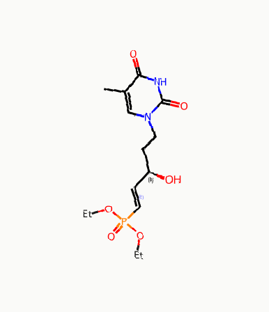 CCOP(=O)(/C=C/[C@H](O)CCn1cc(C)c(=O)[nH]c1=O)OCC